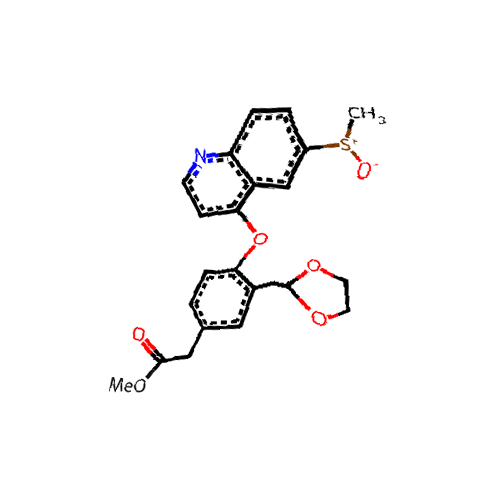 COC(=O)Cc1ccc(Oc2ccnc3ccc([S+](C)[O-])cc23)c(C2OCCO2)c1